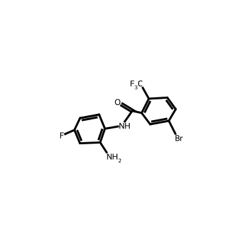 Nc1cc(F)ccc1NC(=O)c1cc(Br)ccc1C(F)(F)F